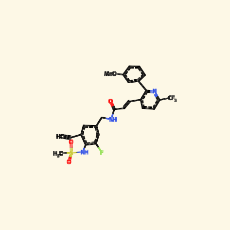 C#Cc1cc(CNC(=O)C=Cc2ccc(C(F)(F)F)nc2-c2cccc(OC)c2)cc(F)c1NS(C)(=O)=O